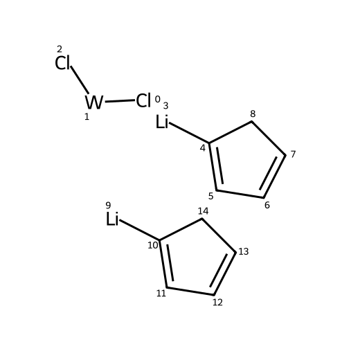 [Cl][W][Cl].[Li][C]1=CC=CC1.[Li][C]1=CC=CC1